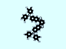 Cc1ccc(N(c2ccc(C)c(C)c2)c2ccc3cc4c(cc3c2)oc2ccc3oc5cc6cc(N(c7ccc(C)c(C)c7)c7ccc(C)c(C)c7)ccc6cc5c3c24)cc1C